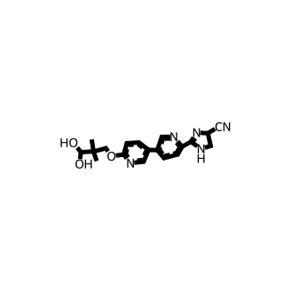 CC(C)(COc1ccc(-c2ccc(C3=NC(C#N)CN3)nc2)cn1)C(O)O